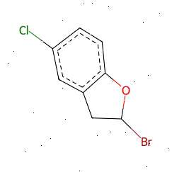 Clc1ccc2c(c1)CC(Br)O2